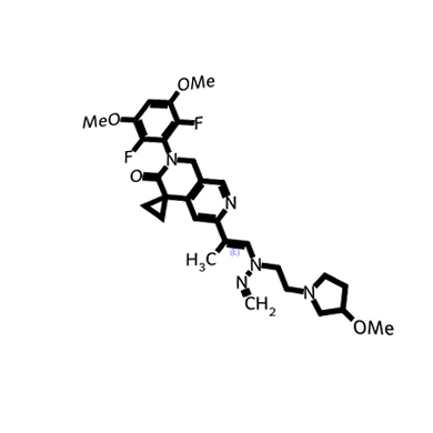 C=NN(/C=C(\C)c1cc2c(cn1)CN(c1c(F)c(OC)cc(OC)c1F)C(=O)C21CC1)CCN1CCC(OC)C1